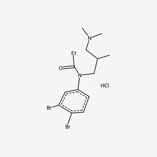 CCC(=O)N(CC(C)CN(C)C)c1ccc(Br)c(Br)c1.Cl